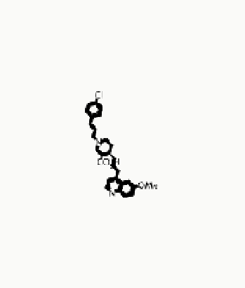 COc1ccc2nccc(CCC[C@@H]3CCN(CCCc4ccc(Cl)cc4)C[C@@H]3C(=O)O)c2c1